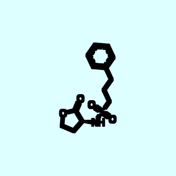 O=C1OCC[C@@H]1NS(=O)(=O)CCCc1ccccc1